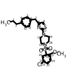 CCCc1ccc(Cc2csc(N3CCN(S(=O)(=O)c4cc(Cl)ccc4OC)CC3)n2)cc1